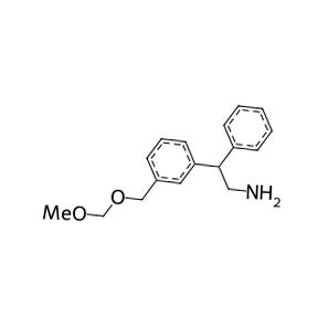 COCOCc1cccc(C(CN)c2ccccc2)c1